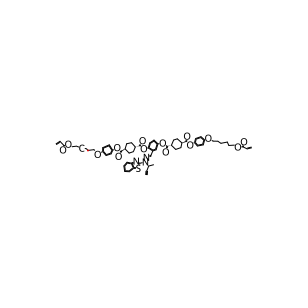 C#CC(C)N(/N=C/c1cc(OC(=O)[C@H]2CC[C@H](C(=O)Oc3ccc(OCCCCCCOC(=O)C=C)cc3)CC2)ccc1OC(=O)[C@H]1CC[C@H](C(=O)Oc2ccc(OCCCCCCOC(=O)C=C)cc2)CC1)c1nc2ccccc2s1